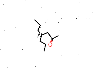 CC[CH2][Al]([CH2]CC)[CH2]C(C)=O